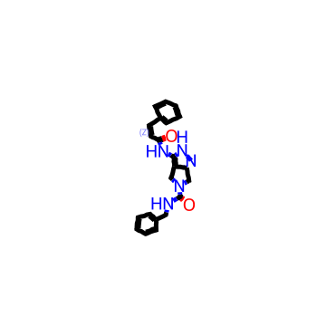 O=C(/C=C\c1ccccc1)Nc1[nH]nc2c1CN(C(=O)NCc1ccccc1)C2